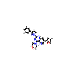 c1ccc(-c2ccn(-c3nc(N4CCOCC4)c4ncc(C5CCCO5)cc4n3)n2)cc1